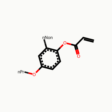 C=CC(=O)Oc1ccc(OCCC)cc1CCCCCCCCC